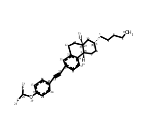 CCCCC[C@@H]1CC[C@@H]2c3ccc(C#Cc4ccc(OC(F)F)cc4)cc3CC[C@@H]2C1